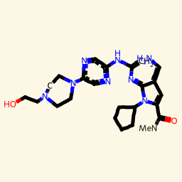 C=C(/N=C1\C(=C/N)C=C(C(=O)NC)N1C1CCCC1)Nc1cnc(N2CCN(CCO)CC2)cn1